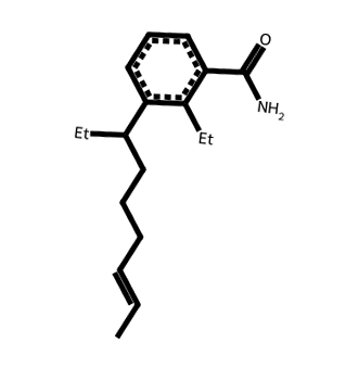 CC=CCCCC(CC)c1cccc(C(N)=O)c1CC